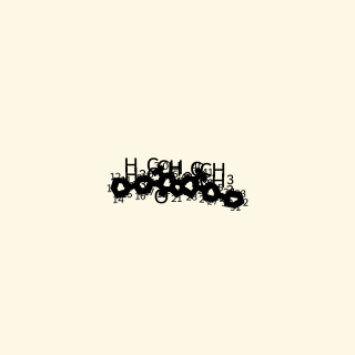 CC(C)(C)C1=C(c2ccc(-c3ccccc3)cc2)C(=O)C2=Cc3cc(-c4ccc(-c5ccccc5)cc4)c(C(C)(C)C)cc3C2=C1